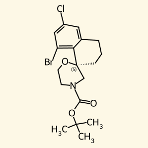 CC(C)(C)OC(=O)N1CCO[C@]2(CCCc3cc(Cl)cc(Br)c32)C1